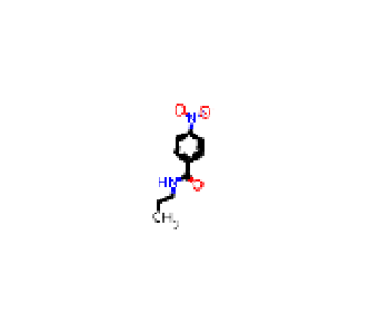 CCCNC(=O)c1ccc([N+](=O)[O-])cc1